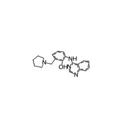 Oc1c(CN2CCCCC2)cccc1Nc1ncnc2ccccc12